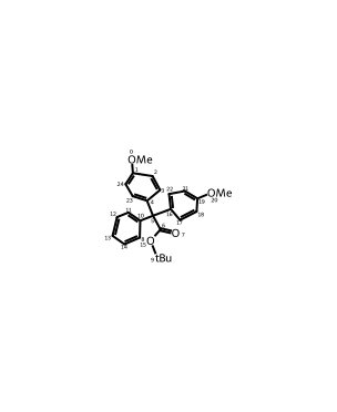 COc1ccc(C(C(=O)OC(C)(C)C)(c2ccccc2)c2ccc(OC)cc2)cc1